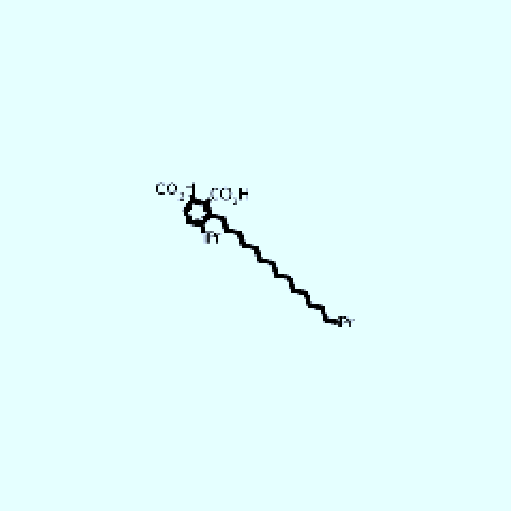 CC(C)CCCCCCCCCCCCCCc1c(C(C)C)ccc(C(=O)O)c1C(=O)O